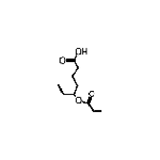 CCC(=O)OC(CC)CCCC(=O)O